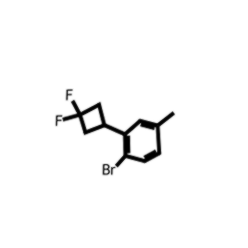 Cc1ccc(Br)c(C2CC(F)(F)C2)c1